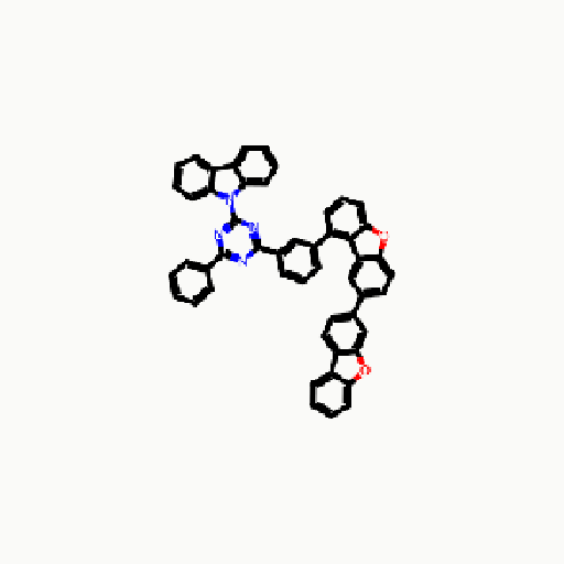 c1ccc(-c2nc(-c3cccc(-c4cccc5oc6ccc(-c7ccc8c(c7)oc7ccccc78)cc6c45)c3)nc(-n3c4ccccc4c4ccccc43)n2)cc1